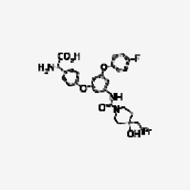 CC(C)CC1(O)CCN(C(=O)Nc2cc(Oc3ccc(F)cc3)cc(Oc3ccc(C(N)C(=O)O)cc3)c2)CC1